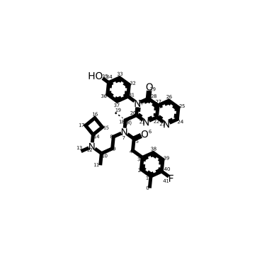 Cc1cc(CC(=O)N(CCC(C)N(C)C2CCC2)[C@H](C)c2nc3ncccc3c(=O)n2-c2ccc(O)cc2)ccc1F